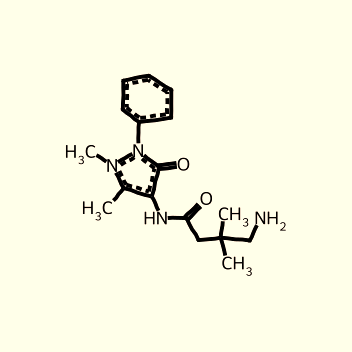 Cc1c(NC(=O)CC(C)(C)CN)c(=O)n(-c2ccccc2)n1C